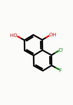 Oc1cc(O)c2c(Cl)c(F)ccc2c1